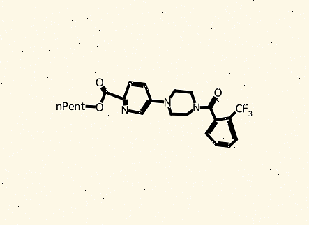 CCCCCOC(=O)c1ccc(N2CCN(C(=O)c3ccccc3C(F)(F)F)CC2)cn1